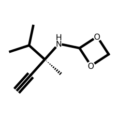 C#C[C@](C)(NC1OCO1)C(C)C